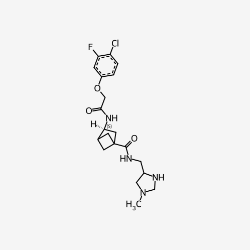 CN1CNC(CNC(=O)C23CC(C2)[C@@H](NC(=O)COc2ccc(Cl)c(F)c2)C3)C1